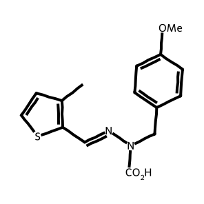 COc1ccc(CN(N=Cc2sccc2C)C(=O)O)cc1